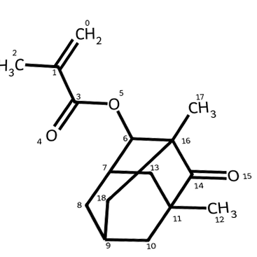 C=C(C)C(=O)OC1C2CC3CC(C)(C2)C(=O)C1(C)C3